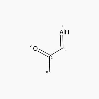 CC(=O)[CH]=[AlH]